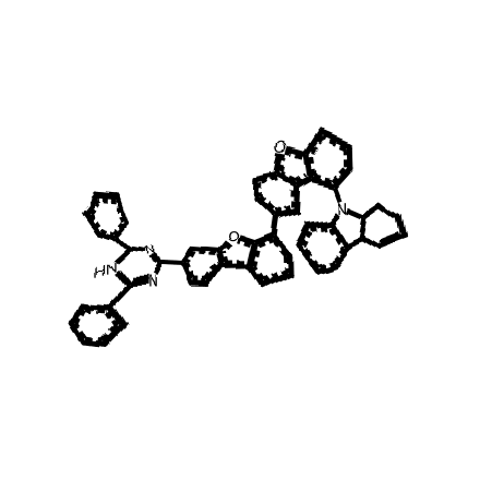 C1=CC2c3ccccc3N(c3cccc4oc5ccc(-c6cccc7c6oc6cc(C8=NC(c9ccccc9)NC(c9ccccc9)=N8)ccc67)cc5c34)C2CC1